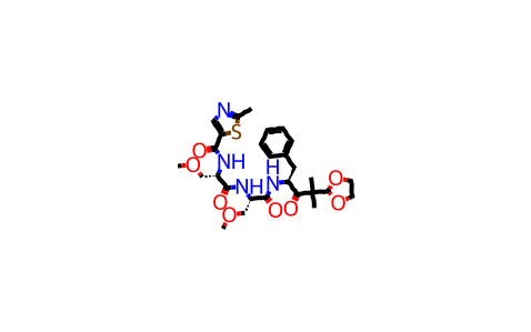 COC[C@H](NC(=O)c1cnc(C)s1)C(=O)N[C@@H](COC)C(=O)N[C@@H](Cc1ccccc1)C(=O)C(C)(C)C1OCCO1